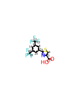 O=C(O)c1csc(-c2cc(C(F)(F)F)cc(C(F)(F)F)c2)n1